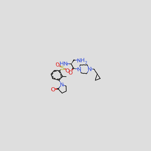 Cc1c(N2CCCC2=O)cccc1S(=O)(=O)N[C@@H](CN)C(=O)N1CCN(CC2CC2)CC1